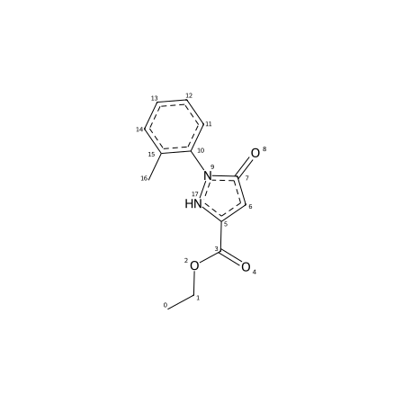 CCOC(=O)c1cc(=O)n(-c2ccccc2C)[nH]1